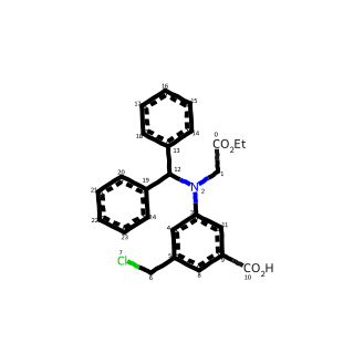 CCOC(=O)CN(c1cc(CCl)cc(C(=O)O)c1)C(c1ccccc1)c1ccccc1